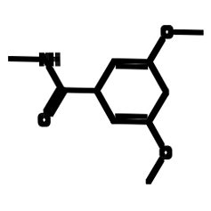 CNC(=O)C1C=C(OC)CC(OC)=C1